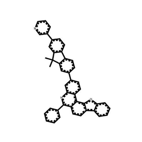 CC1(C)c2cc(-c3cccnc3)ccc2-c2ccc(-c3ccc4c(c3)nc(-c3ccccc3)c3ccc5c6ccccc6oc5c34)cc21